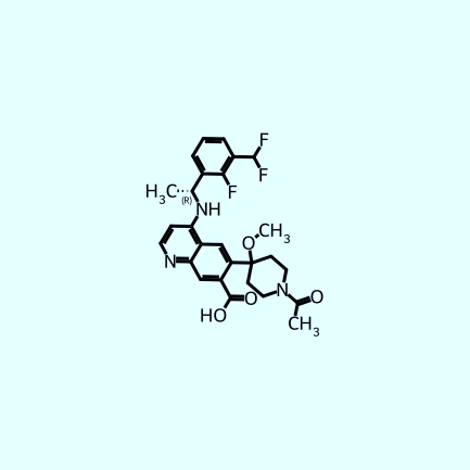 COC1(c2cc3c(N[C@H](C)c4cccc(C(F)F)c4F)ccnc3cc2C(=O)O)CCN(C(C)=O)CC1